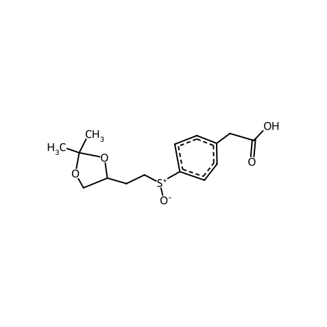 CC1(C)OCC(CC[S+]([O-])c2ccc(CC(=O)O)cc2)O1